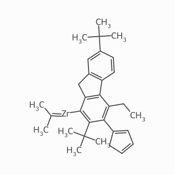 CCc1c(C2=CC=CC2)c(C(C)(C)C)[c]([Zr]=[C](C)C)c2c1-c1ccc(C(C)(C)C)cc1C2